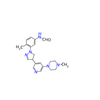 Cc1ccc(NC=O)cc1N1CC(c2cncc(N3CCN(C)CC3)c2)C=N1